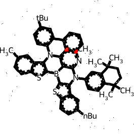 CCCCc1ccc2sc3c(c2c1)N(c1ccc2c(c1)C(C)(C)CCC2(C)C)c1nc(C)cc2c1B3c1sc3ccc(C)cc3c1N2c1ccc(C(C)(C)C)cc1-c1ccccc1